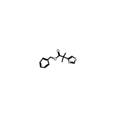 CC(C)(C(=O)OCc1ccccc1)c1cscn1